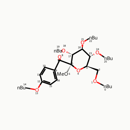 CCCCOC[C@H]1O[C@@](OC)(C(=O)c2ccc(OCCCC)cc2)[C@H](OCCCC)[C@@H](OCCCC)[C@@H]1OCCCC